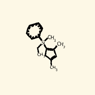 CC[Si](C)(C1=C(C)C=C(C)C1)c1ccccc1